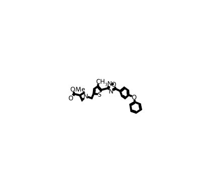 COC(=O)C1CN(Cc2cc(C)c(-c3noc(-c4ccc(Oc5ccccc5)cc4)n3)s2)C1